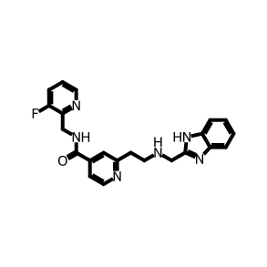 O=C(NCc1ncccc1F)c1ccnc(CCNCc2nc3ccccc3[nH]2)c1